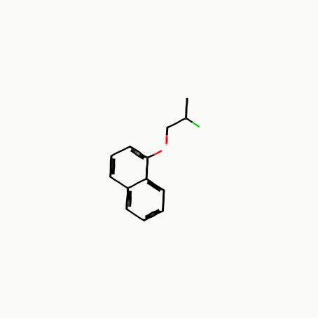 CC(Cl)COc1cccc2ccccc12